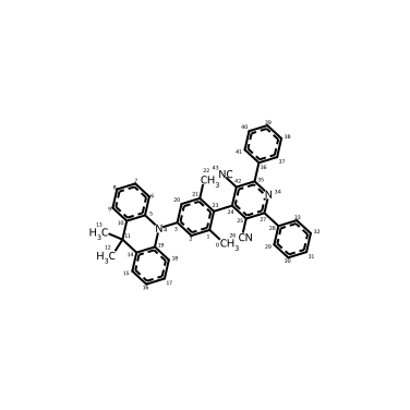 Cc1cc(N2c3ccccc3C(C)(C)c3ccccc32)cc(C)c1-c1c(C#N)c(-c2ccccc2)nc(-c2ccccc2)c1C#N